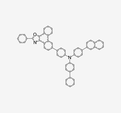 c1ccc(-c2ccc(N(c3ccc(-c4ccc5ccccc5c4)cc3)c3ccc(-c4ccc5c(c4)c4ccccc4c4oc(-c6ccccc6)nc54)cc3)cc2)cc1